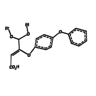 CCOC(OCC)/C(=C/C(=O)O)Oc1ccc(Oc2ccccc2)cc1